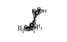 COc1cc(C(=O)O)ccc1OCCCCOc1ccc(C(=O)CC(C)(C)C)c(O)c1C